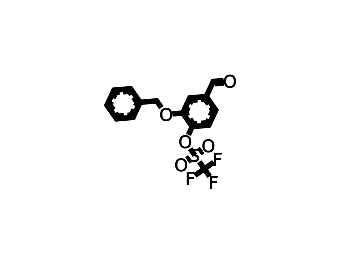 O=Cc1ccc(OS(=O)(=O)C(F)(F)F)c(OCc2ccccc2)c1